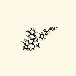 COCCN(C)Cc1c(-c2ccc(NC(=O)NOC)cc2)sc2c1c(=O)n(-c1nccn1C)c(=O)n2Cc1c(F)cccc1F